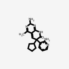 CC1=NC(N)N=C2NC(=O)C(c3cccnc3N)(C3CCCC3)C=C12